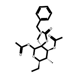 CC[C@H]1OC(OC(C)=O)[C@@](COCc2ccccc2)(OC(C)=O)[C@@H](OC(C)=O)[C@@H]1C